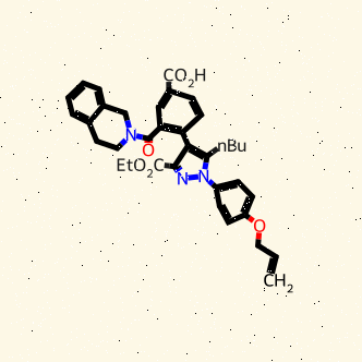 C=CCOc1ccc(-n2nc(C(=O)OCC)c(-c3ccc(C(=O)O)cc3C(=O)N3CCc4ccccc4C3)c2CCCC)cc1